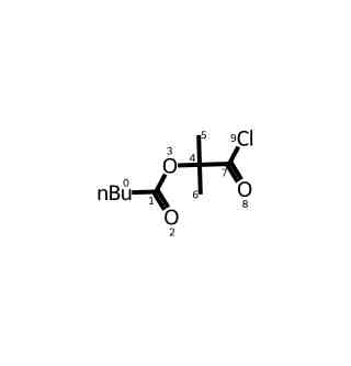 CCCCC(=O)OC(C)(C)C(=O)Cl